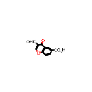 O=Cc1coc2ccc(C(=O)O)cc2c1=O